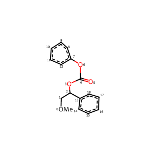 COCC(OC(=O)Oc1ccccc1)c1ccccc1